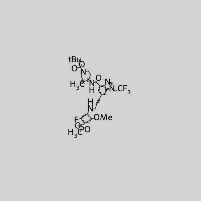 COc1cc(S(C)(=O)=O)c(F)cc1NCC#Cc1cc(C(=O)N[C@H]2CCN(C(=O)OC(C)(C)C)C[C@@H]2C)c2ncn(CC(F)(F)F)c2c1